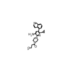 COCCC(=O)N1CCN(c2nc(C3CC3)c(-c3cccc4cnccc34)cc2N)CC1